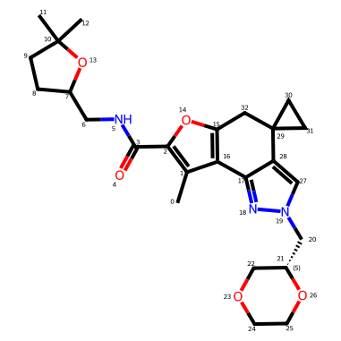 Cc1c(C(=O)NCC2CCC(C)(C)O2)oc2c1-c1nn(C[C@H]3COCCO3)cc1C1(CC1)C2